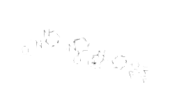 Cc1ccc(-c2nc(-c3ccc(OC(F)(F)F)cc3)no2)c(=O)n1Cc1ccnc(N2CCOCC2)c1